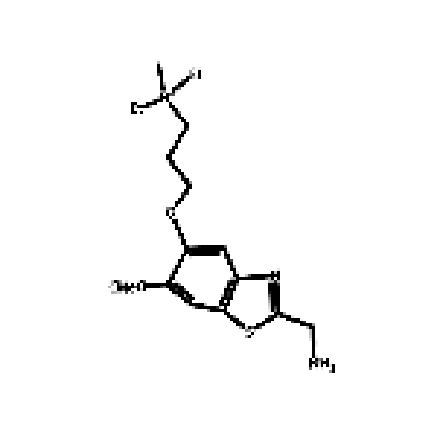 CC[N+](C)(CC)CCCOc1cc2nc(CN)sc2cc1OC.[Cl-]